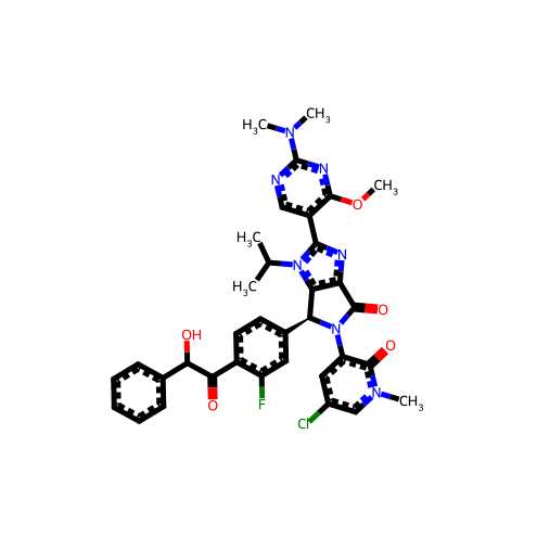 COc1nc(N(C)C)ncc1-c1nc2c(n1C(C)C)[C@H](c1ccc(C(=O)C(O)c3ccccc3)c(F)c1)N(c1cc(Cl)cn(C)c1=O)C2=O